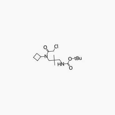 CC(C)(CNC(=O)OC(C)(C)C)CN(C(=O)CCl)C1CCC1